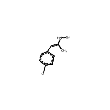 C/C(=C\c1ccc(Cl)cc1)NS